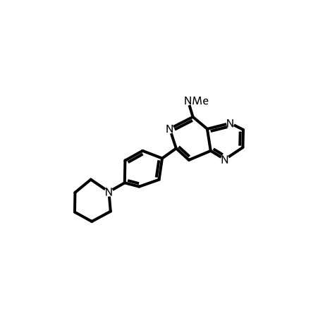 CNc1nc(-c2ccc(N3CCCCC3)cc2)cc2nccnc12